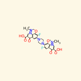 CN1COc2c(F)c(N3CCN(c4c(F)cc5c(=O)c(C(=O)O)cn6c5c4OCN6C)CC3)cc3c(=O)c(C(=O)O)cn1c23